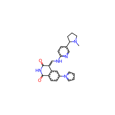 CN1CCCC1c1ccc(N/C=C2/C(=O)NC(=O)c3ccc(-n4cccc4)cc32)nc1